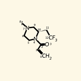 C=CC(=O)N1CCN(I)C[C@@H]1CC(F)(F)F